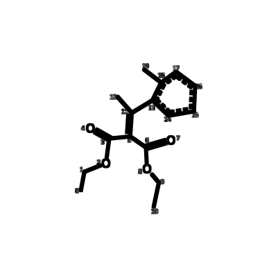 CCOC(=O)C(C(=O)OCC)=C(C)c1ccccc1C